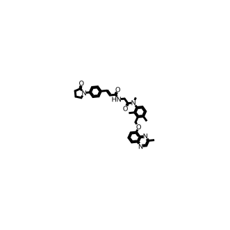 Cc1cnc2cccc(OCc3c(C)ccc(N(C)C(=O)CNC(=O)C=Cc4ccc(N5CCCC5=O)cc4)c3C)c2n1